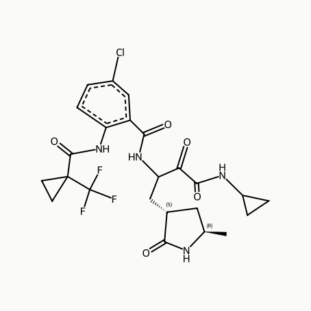 C[C@@H]1C[C@@H](CC(NC(=O)c2cc(Cl)ccc2NC(=O)C2(C(F)(F)F)CC2)C(=O)C(=O)NC2CC2)C(=O)N1